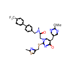 COc1ncc(Cc2cn(CC(=O)N(C)Cc3ccc(-c4ccc(C(F)(F)F)cc4)cc3)c(SCc3csc(C)n3)nc2=O)cn1